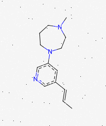 CC=Cc1cncc(N2CCCN(C)CC2)c1